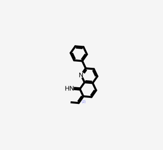 C/C=C1/C=Cc2ccc(-c3ccccc3)nc2C1=N